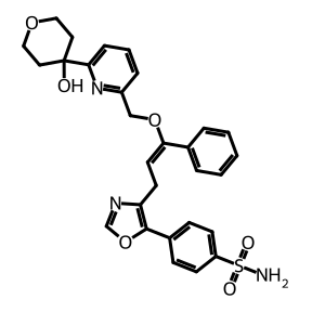 NS(=O)(=O)c1ccc(-c2ocnc2C/C=C(/OCc2cccc(C3(O)CCOCC3)n2)c2ccccc2)cc1